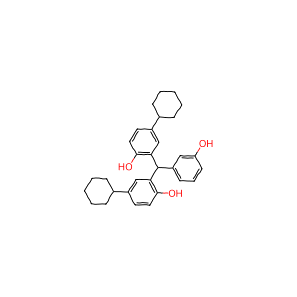 Oc1cccc(C(c2cc(C3CCCCC3)ccc2O)c2cc(C3CCCCC3)ccc2O)c1